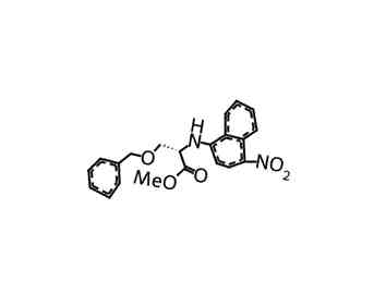 COC(=O)[C@H](COCc1ccccc1)Nc1ccc([N+](=O)[O-])c2ccccc12